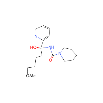 COCCCC[C@@](O)(NC(=O)N1CCCCC1)c1ccccn1